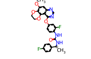 COc1cc2ncnc(Oc3ccc(NC(=O)N[C@H](C)c4ccc(F)cc4)c(F)c3)c2c2c1OCCO2